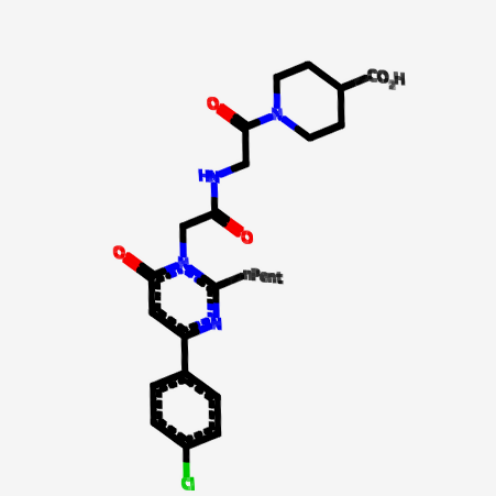 CCCCCc1nc(-c2ccc(Cl)cc2)cc(=O)n1CC(=O)NCC(=O)N1CCC(C(=O)O)CC1